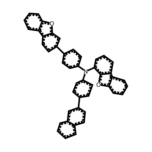 c1ccc2cc(-c3ccc(N(c4ccc(-c5ccc6c(c5)oc5ccccc56)cc4)c4cccc5c4oc4ccccc45)cc3)ccc2c1